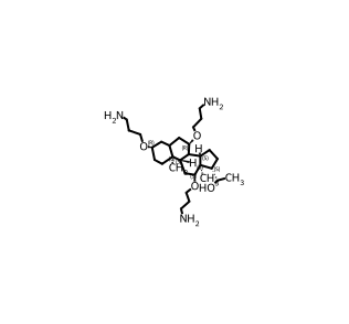 CC(O)[C@H]1CC[C@H]2C3[C@H](OCCCN)CC4C[C@H](OCCCN)CC[C@]4(C)[C@H]3C[C@H](OCCCN)[C@]12C